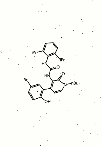 CCCCn1ccc(-c2cc(Br)ccc2O)c(NC(=O)Nc2c(C(C)C)cccc2C(C)C)c1=O